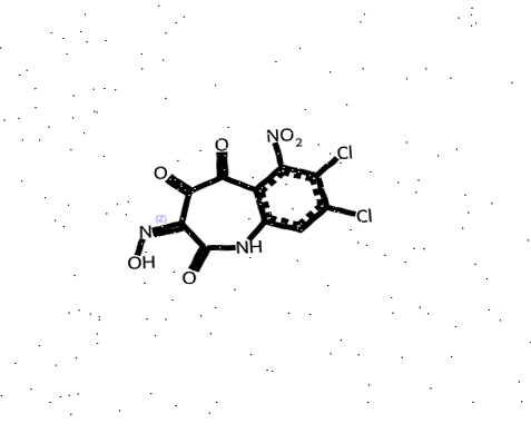 O=C1Nc2cc(Cl)c(Cl)c([N+](=O)[O-])c2C(=O)C(=O)/C1=N/O